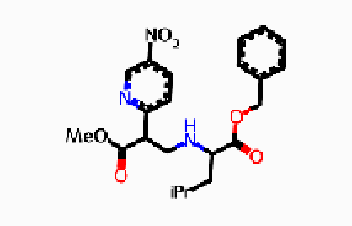 COC(=O)C(CNC(CC(C)C)C(=O)OCc1ccccc1)c1ccc([N+](=O)[O-])cn1